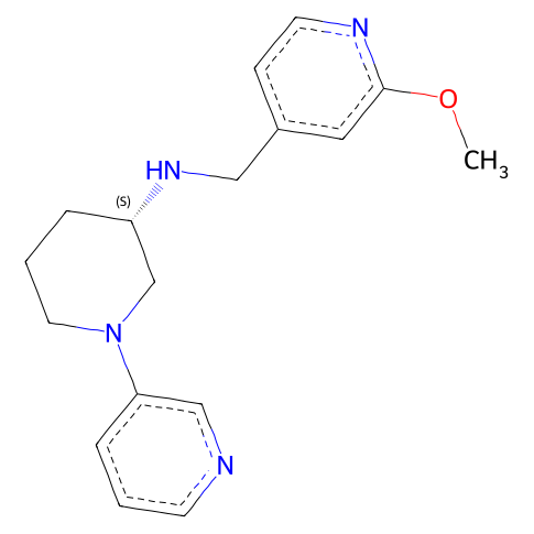 COc1cc(CN[C@H]2CCCN(c3cccnc3)C2)ccn1